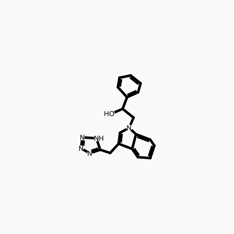 OC(Cn1cc(Cc2nnn[nH]2)c2ccccc21)c1ccccc1